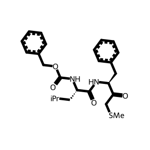 CSCC(=O)[C@H](Cc1ccccc1)NC(=O)[C@H](CC(C)C)NC(=O)OCc1ccccc1